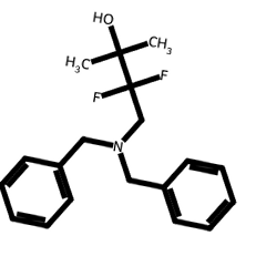 CC(C)(O)C(F)(F)CN(Cc1ccccc1)Cc1ccccc1